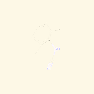 Cc1cccc(C)c1NC#N